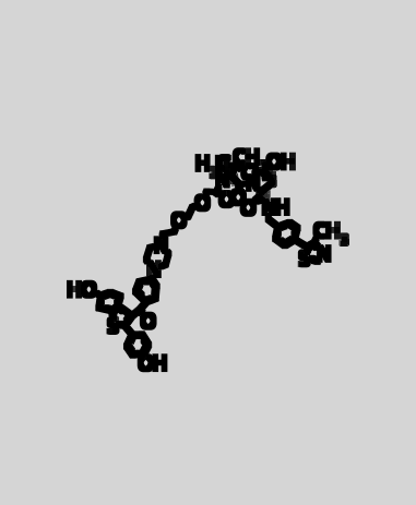 Cc1ncsc1-c1ccc(CNC(=O)[C@@H]2C[C@@H](O)CN2C(=O)[C@@H](NC(=O)COCCOCCN2CCN(c3ccc(C(=O)c4c(-c5ccc(O)cc5)sc5cc(O)ccc45)cc3)CC2)C(C)(C)C)cc1